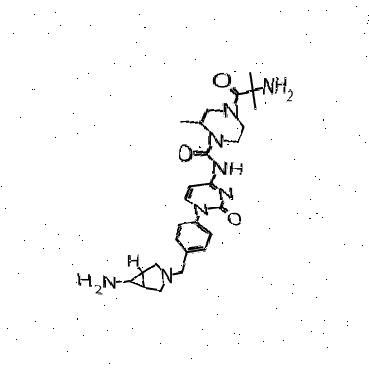 CC1CN(C(=O)C(C)(C)N)CCN1C(=O)Nc1ccn(-c2ccc(CN3CC4C(N)[C@@H]4C3)cc2)c(=O)n1